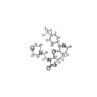 CC(C)(C)c1ccc(-c2cc(C=C3SC(=O)N(CCN4CCOCC4)C3=O)ccn2)cc1